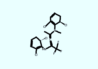 CC(=C=C(NC1=C(Cl)C=CC[C@@H]1Cl)C(F)(F)F)N(C)C1=C(Cl)C=CC[C@H]1Cl